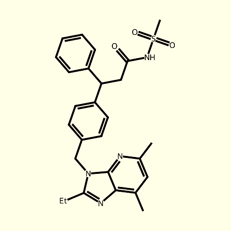 CCc1nc2c(C)cc(C)nc2n1Cc1ccc(C(CC(=O)NS(C)(=O)=O)c2ccccc2)cc1